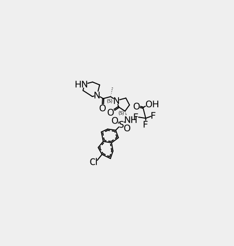 C[C@@H](C(=O)N1CCNCC1)N1CC[C@H](NS(=O)(=O)c2ccc3cc(Cl)ccc3c2)C1=O.O=C(O)C(F)(F)F